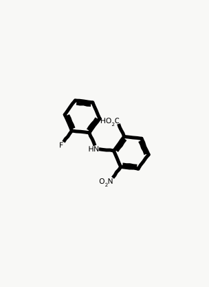 O=C(O)c1cccc([N+](=O)[O-])c1Nc1ccccc1F